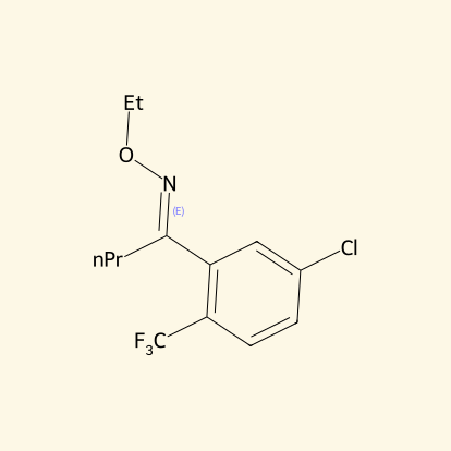 CCC/C(=N\OCC)c1cc(Cl)ccc1C(F)(F)F